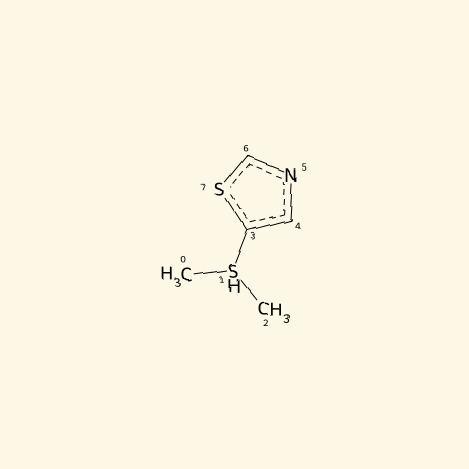 C[SH](C)c1cncs1